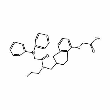 CCCN(CC1CCc2c(cccc2OCC(=O)O)C1)C(=O)CN(c1ccccc1)c1ccccc1